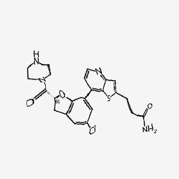 NC(=O)CCc1cc2nccc(-c3cc(Cl)cc4c3O[C@@H](C(=O)N3CCNCC3)C4)c2s1